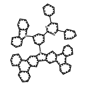 c1ccc(-c2cc(-c3ccccc3)nc(-c3cc(-n4c5ccccc5c5ccccc54)cc(-n4c5cc6c7ccccc7c7ccccc7c6cc5c5cc6c7ccccc7c7ccccc7c6cc54)c3)n2)cc1